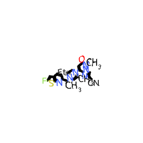 CC[C@@H]1CN(c2cc(=O)n(C)n3cc(CC#N)nc23)[C@@H](C)CN1C(C)c1ccc2cc(F)sc2n1